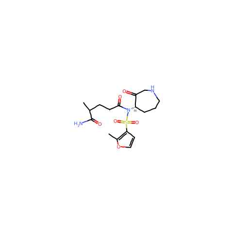 Cc1occc1S(=O)(=O)N(C(=O)[CH]CC(C)C(N)=O)[C@H]1CCCNCC1=O